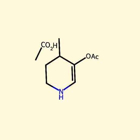 CC(=O)O.CC(=O)OC1=CNCCC1C